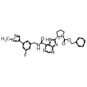 Cn1cc(-c2cc(F)cc(CNC(=O)c3ncnc4nc([C@H]5CCCN5C(=O)OCc5ccccc5)[nH]c34)c2)cn1